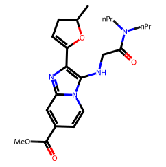 CCCN(CCC)C(=O)CNc1c(C2=CCC(C)O2)nc2cc(C(=O)OC)ccn12